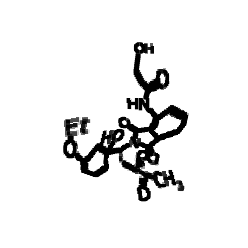 CCOC1=CC=CC(O)([C@@H](CS(C)(=O)=O)N2C(=O)c3cccc(NC(=O)CO)c3C2=O)C1